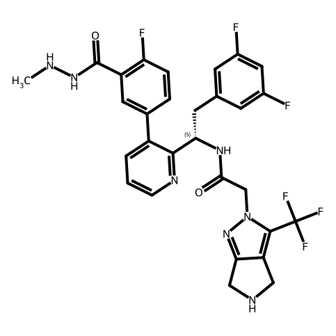 CNNC(=O)c1cc(-c2cccnc2[C@H](Cc2cc(F)cc(F)c2)NC(=O)Cn2nc3c(c2C(F)(F)F)CNC3)ccc1F